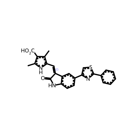 Cc1[nH]c(/C=C2\C(=O)Nc3ccc(-c4csc(-c5ccccc5)n4)cc32)c(C)c1C(=O)O